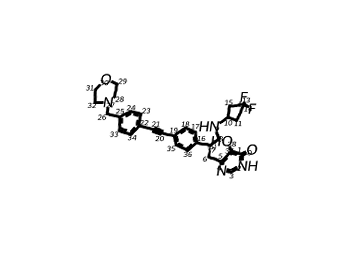 O=c1[nH]cnc(C[C@H](CNC2CC(F)(F)C2)c2ccc(C#Cc3ccc(CN4CCOCC4)cc3)cc2)c1O